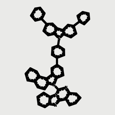 c1ccc(-c2ccc3c(c2)c2cc(-c4ccccc4)ccc2n3-c2ccc(-c3ccc4c(c3)c3c5ccccc5ccc3n4-c3nc4ccccc4c4nc5ccccc5n34)cc2)cc1